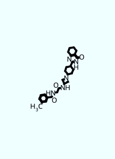 Cc1cccc(C(=O)NCC(=O)NC2CN(C3CCC(c4nc5c(c(=O)[nH]4)CCCC5)CC3)C2)c1